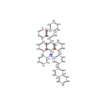 c1ccc(-c2ccc(-c3ccccc3N(c3ccc(-c4ccc5ccccc5c4)cc3)c3cc(-c4ccc5ccccc5c4)ccc3-c3ccccc3)cc2)cc1